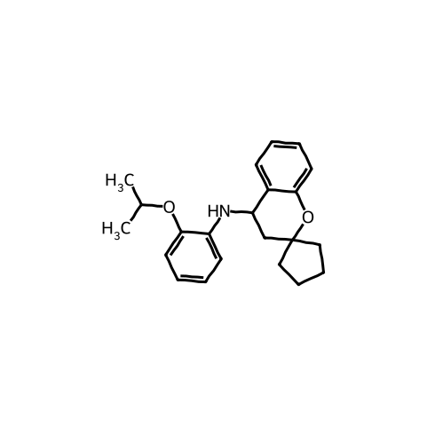 CC(C)Oc1ccccc1NC1CC2(CCCC2)Oc2ccccc21